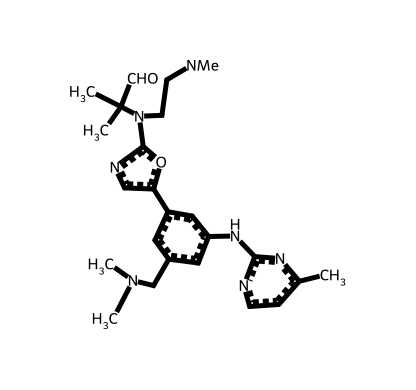 CNCCN(c1ncc(-c2cc(CN(C)C)cc(Nc3nccc(C)n3)c2)o1)C(C)(C)C=O